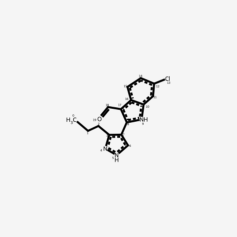 CCCc1n[nH]cc1-c1[nH]c2cc(Cl)ccc2c1C=O